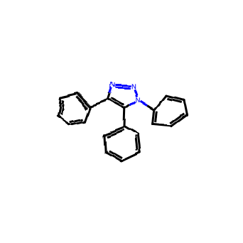 c1ccc(-c2nnn(-c3ccccc3)c2-c2ccccc2)cc1